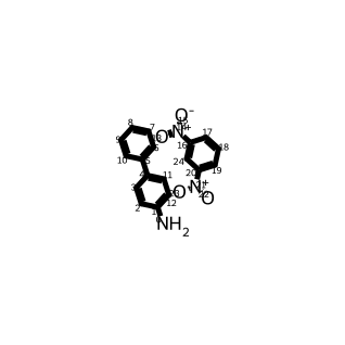 Nc1ccc(-c2ccccc2)cc1.O=[N+]([O-])c1cccc([N+](=O)[O-])c1